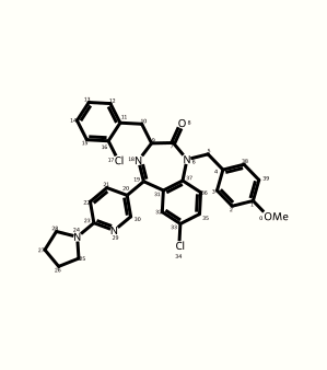 COc1ccc(CN2C(=O)C(Cc3ccccc3Cl)N=C(c3ccc(N4CCCC4)nc3)c3cc(Cl)ccc32)cc1